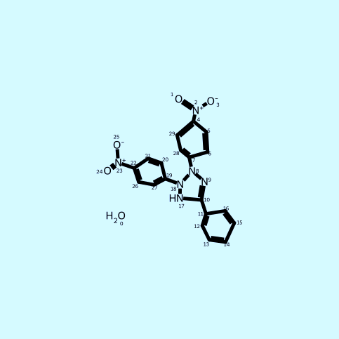 O.O=[N+]([O-])c1ccc(N2N=C(c3ccccc3)NN2c2ccc([N+](=O)[O-])cc2)cc1